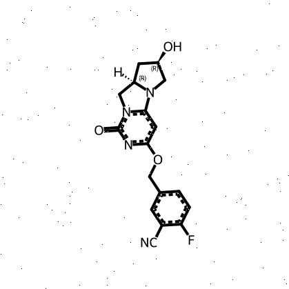 N#Cc1cc(COc2cc3n(c(=O)n2)C[C@H]2C[C@@H](O)CN32)ccc1F